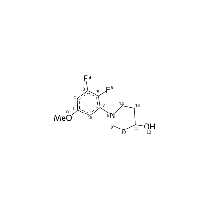 COc1cc(F)c(F)c(N2CCC(O)CC2)c1